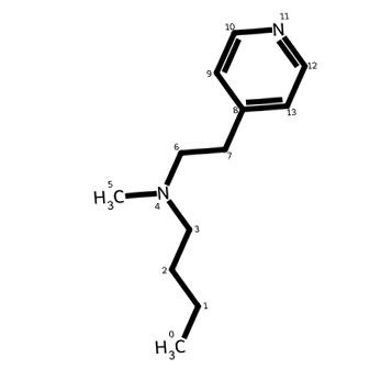 CCCCN(C)CCc1ccncc1